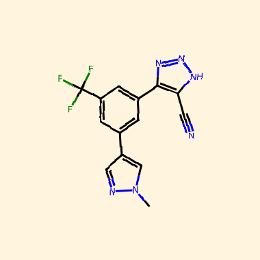 Cn1cc(-c2cc(-c3nn[nH]c3C#N)cc(C(F)(F)F)c2)cn1